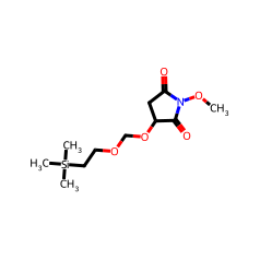 CON1C(=O)CC(OCOCC[Si](C)(C)C)C1=O